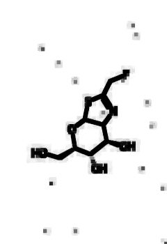 OC[C@H]1OC2SC(CF)=NC2[C@@H](O)[C@@H]1O